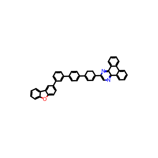 C1=C(c2ccc(-c3cccc(-c4ccc5oc6ccccc6c5c4)c3)cc2)CCC(c2cnc3c4ccccc4c4ccccc4c3n2)=C1